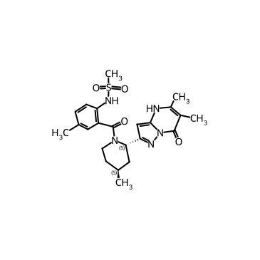 Cc1ccc(NS(C)(=O)=O)c(C(=O)N2CC[C@H](C)C[C@H]2c2cc3[nH]c(C)c(C)c(=O)n3n2)c1